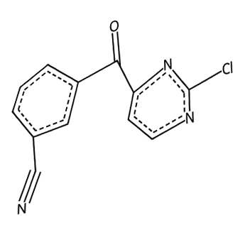 N#Cc1cccc(C(=O)c2ccnc(Cl)n2)c1